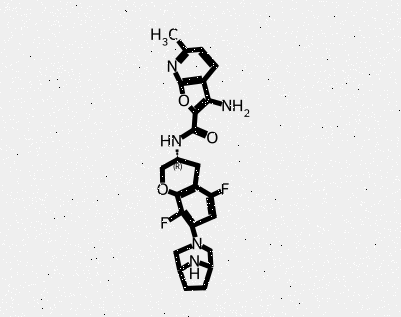 Cc1ccc2c(N)c(C(=O)N[C@H]3COc4c(F)c(N5CC6CCC(C5)N6)cc(F)c4C3)oc2n1